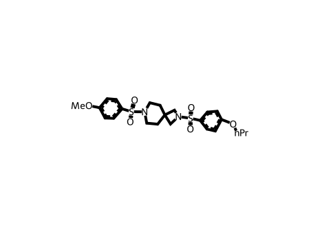 CCCOc1ccc(S(=O)(=O)N2CC3(CCN(S(=O)(=O)c4ccc(OC)cc4)CC3)C2)cc1